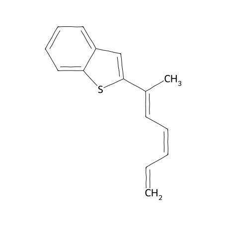 C=C/C=C\C=C(/C)c1cc2ccccc2s1